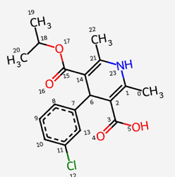 CC1=C(C(=O)O)C(c2cccc(Cl)c2)C(C(=O)OC(C)C)=C(C)N1